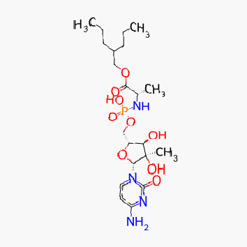 CCCC(CCC)COC(=O)[C@H](C)NP(=O)(O)OC[C@H]1O[C@@H](n2ccc(N)nc2=O)[C@](C)(O)[C@@H]1O